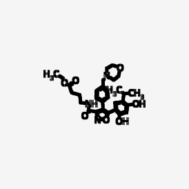 CCOC(=O)CCCNC(=O)c1noc(-c2cc(C(C)C)c(O)cc2O)c1-c1ccc(CN2CCOCC2)cc1